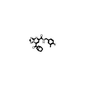 Cc1cc(CNC(=O)c2cc(C(=O)N3C4CCC3CC4)n3ncnc3n2)ccc1F